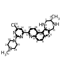 C[C@@H]1CNc2c(sc3ccc4nc(-c5cc(Cl)nc(N6CCN(C)CC6)n5)ccc4c23)CN1